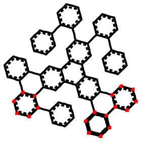 c1ccc(-c2ccccc2-c2cc3c4cc(-c5ccccc5-c5ccccc5)c(-c5ccccc5-c5ccccc5)cc4c4cc(-c5ccccc5-c5ccccc5)c(-c5ccccc5-c5ccccc5)cc4c3cc2-c2ccccc2-c2ccccc2)cc1